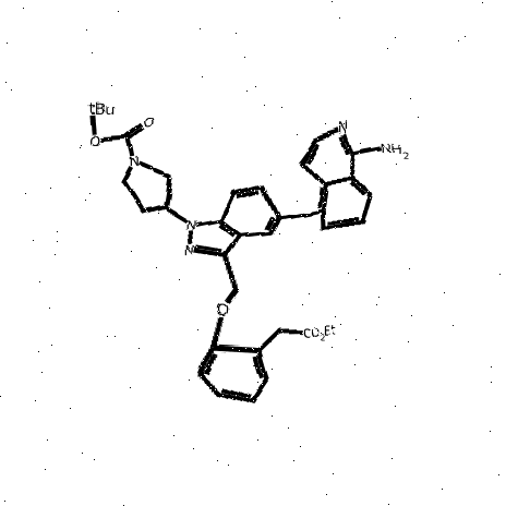 CCOC(=O)Cc1ccccc1OCc1nn(C2CCN(C(=O)OC(C)(C)C)C2)c2ccc(-c3cccc4c(N)nccc34)cc12